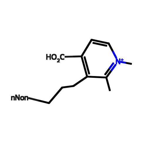 CCCCCCCCCCCCc1c(C(=O)O)cc[n+](C)c1C